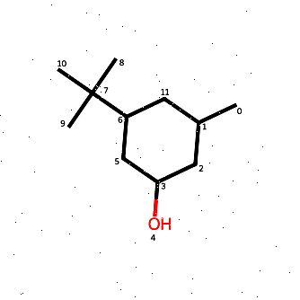 CC1CC(O)CC(C(C)(C)C)C1